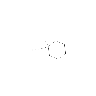 CCCCCCCCCCC1(CCCCCCCCCC)CCCCC1